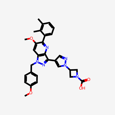 COc1ccc(Cn2nc(-c3cnn(C4CN(C(=O)O)C4)c3)c3nc(-c4cccc(C)c4C)c(OC)cc32)cc1